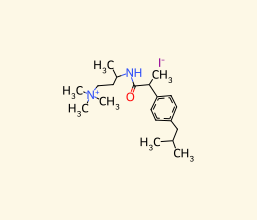 CC(C)Cc1ccc(C(C)C(=O)NC(C)CC[N+](C)(C)C)cc1.[I-]